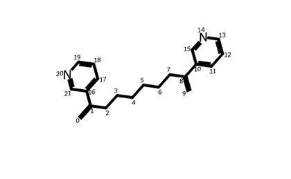 C=C(CCCCCCC(=C)c1cccnc1)c1cccnc1